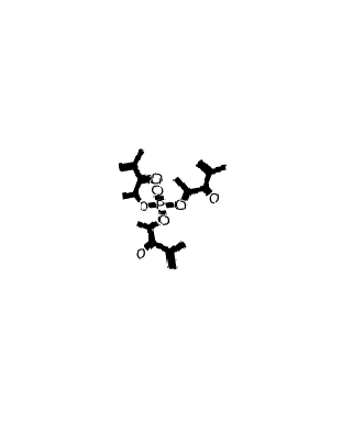 C=C(C)C(=O)C(C)OP(=O)(OC(C)C(=O)C(=C)C)OC(C)C(=O)C(=C)C